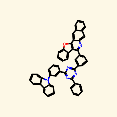 c1ccc(-c2nc(-c3cccc(-c4nc5cc6ccccc6cc5c5oc6ccccc6c45)c3)nc(-c3cccc(-n4c5ccccc5c5ccccc54)c3)n2)cc1